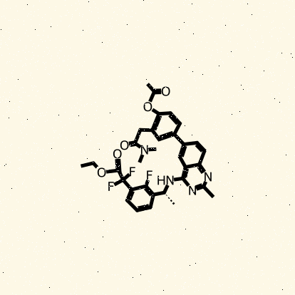 CCOC(=O)C(F)(F)c1cccc([C@@H](C)Nc2nc(C)nc3ccc(-c4ccc(OC(C)=O)c(CC(=O)N(C)C)c4)cc23)c1F